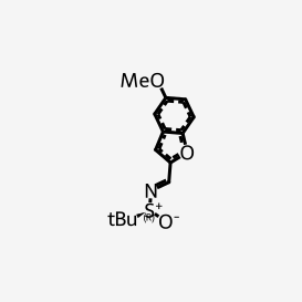 COc1ccc2oc(C=N[S@@+]([O-])C(C)(C)C)cc2c1